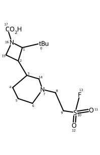 CC(C)(C)C1C(C2CCCN(CCS(=O)(=O)F)C2)CN1C(=O)O